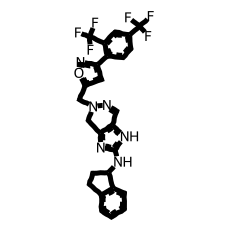 FC(F)(F)c1ccc(-c2cc(CN3Cc4nc(NC5CCc6ccccc65)[nH]c4C=N3)on2)c(C(F)(F)F)c1